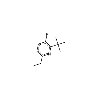 CCc1ccc(F)c(C(C)(C)C)n1